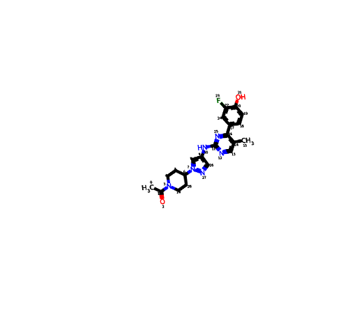 CC(=O)N1CCC(n2cc(Nc3ncc(C)c(-c4ccc(O)c(F)c4)n3)cn2)CC1